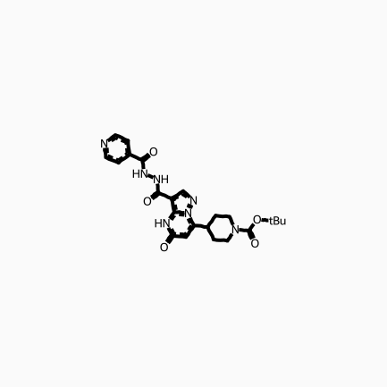 CC(C)(C)OC(=O)N1CCC(c2cc(=O)[nH]c3c(C(=O)NNC(=O)c4ccncc4)cnn23)CC1